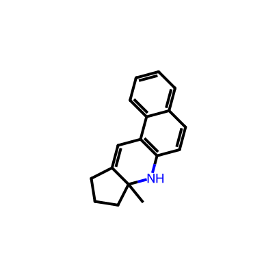 CC12CCCC1=Cc1c(ccc3ccccc13)N2